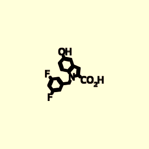 O=C(O)c1cc2cc(O)ccc2n1Cc1cc(F)cc(F)c1